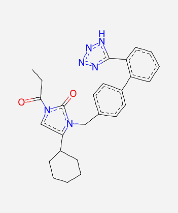 CCC(=O)n1cc(C2CCCCC2)n(Cc2ccc(-c3ccccc3-c3nnn[nH]3)cc2)c1=O